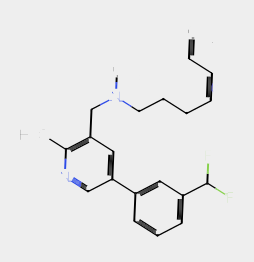 C=C/C=C\CCCN(C)Cc1cc(-c2cccc(C(F)F)c2)cnc1C